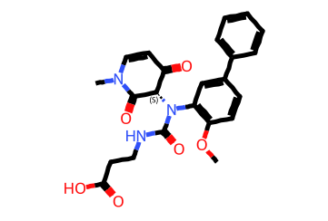 COc1ccc(-c2ccccc2)cc1N(C(=O)NCCC(=O)O)[C@H]1C(=O)C=CN(C)C1=O